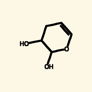 OC1CC=COC1O